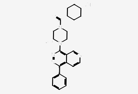 C[C@@H]1CN(C(=O)[C@H]2CC[C@@H](O)CC2)CCN1c1nnc(-c2ccccc2)c2ccncc12